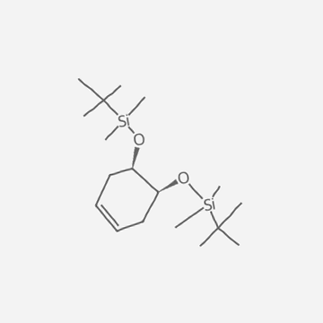 CC(C)(C)[Si](C)(C)O[C@H]1CC=CC[C@H]1O[Si](C)(C)C(C)(C)C